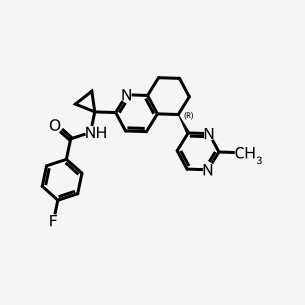 Cc1nccc([C@@H]2CCCc3nc(C4(NC(=O)c5ccc(F)cc5)CC4)ccc32)n1